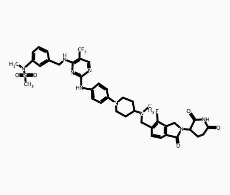 CN(Cc1ccc2c(c1F)CN(C1CCC(=O)NC1=O)C2=O)C1CCN(c2ccc(Nc3ncc(C(F)(F)F)c(NCc4cccc(N(C)S(C)(=O)=O)c4)n3)cc2)CC1